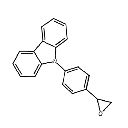 c1ccc2c(c1)c1ccccc1n2-c1ccc(C2CO2)cc1